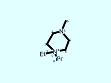 [CH2]C(C)[N+]1(CC)CCN(C)CC1